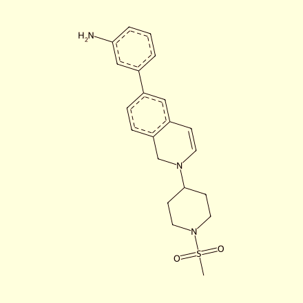 CS(=O)(=O)N1CCC(N2C=Cc3cc(-c4cccc(N)c4)ccc3C2)CC1